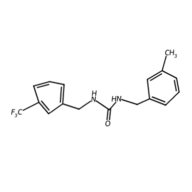 Cc1cccc(CNC(=O)NCc2cccc(C(F)(F)F)c2)c1